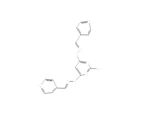 Nc1nc(N/N=C/c2ccncc2)cc(N/N=C/c2ccncc2)n1